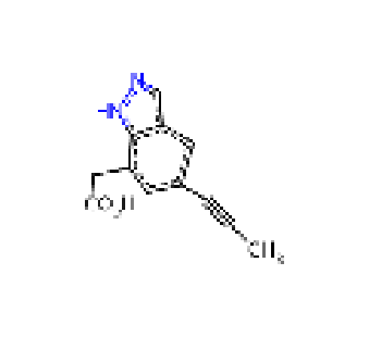 CC#Cc1cc(CC(=O)O)c2[nH]ncc2c1